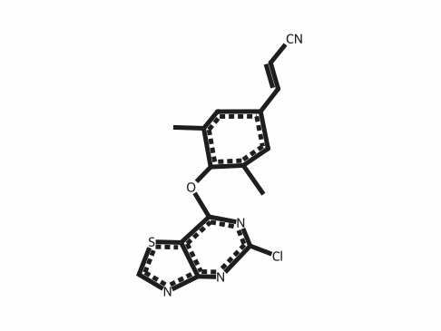 Cc1cc(/C=C/C#N)cc(C)c1Oc1nc(Cl)nc2ncsc12